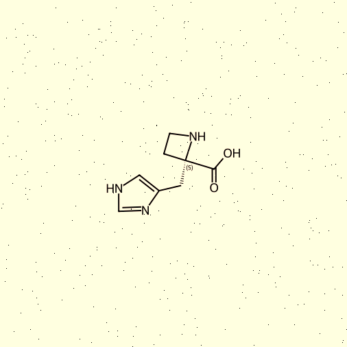 O=C(O)[C@@]1(Cc2c[nH]cn2)CCN1